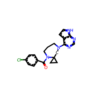 O=C(c1ccc(Cl)cc1)N1CCCN(c2ncnc3[nH]ccc23)CC12CC2